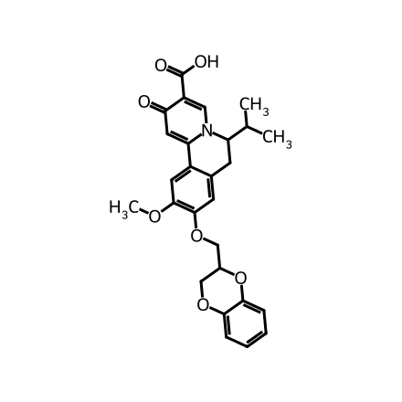 COc1cc2c(cc1OCC1COc3ccccc3O1)CC(C(C)C)n1cc(C(=O)O)c(=O)cc1-2